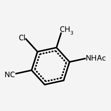 CC(=O)Nc1ccc(C#N)c(Cl)c1C